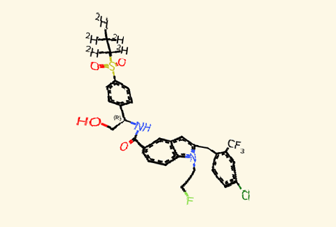 [2H]C([2H])([2H])C([2H])([2H])S(=O)(=O)c1ccc([C@H](CO)NC(=O)c2ccc3c(c2)cc(Cc2ccc(Cl)cc2C(F)(F)F)n3CCF)cc1